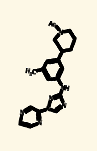 CC(=O)N1CCCC(c2cc(C)cc(Nc3ncn(-c4cnccn4)n3)c2)C1